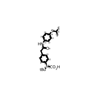 CC(C)(C)N(C(=O)O)c1ccc(CC(=O)Nc2ccc(SC(F)F)cc2)cc1